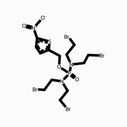 O=[N+]([O-])c1ccc(COP(=O)(N(CCBr)CCBr)N(CCBr)CCBr)s1